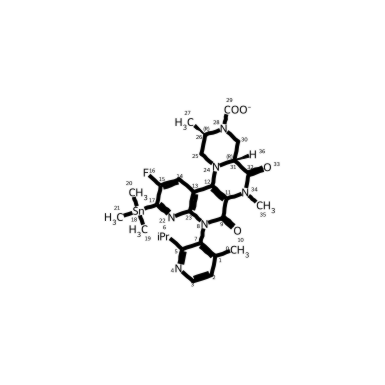 Cc1ccnc(C(C)C)c1-n1c(=O)c2c(c3cc(F)[c]([Sn]([CH3])([CH3])[CH3])nc31)N1C[C@@H](C)N(C(=O)[O-])C[C@@H]1C(=O)N2C